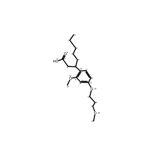 CCCCCC(CC(=O)O)c1ccc(OCCCOC)cc1OC